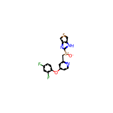 [O-][S+](Cc1cc(Oc2ccc(F)cc2F)ccn1)c1nc2cscc2[nH]1